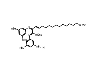 CCCCCCCCCCCCCCCCCCCCCC=CC(=Nc1cc(CCCC)cc(CCCC)c1)C(CCCCCCCC)=Nc1cc(CCCC)cc(CCCC)c1.[Ni]